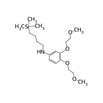 COCCOc1ccc(NCCCC[Si](C)(C)C)cc1OCCOC